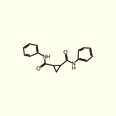 O=C(Nc1ccccc1)C1CC1C(=O)Nc1ccccc1